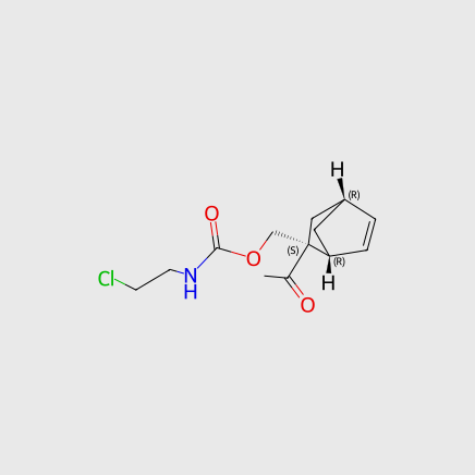 CC(=O)[C@@]1(COC(=O)NCCCl)C[C@@H]2C=C[C@H]1C2